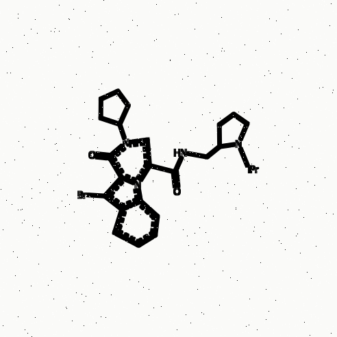 CC(C)N1CCCC1CNC(=O)c1cn(C2CCCC2)c(=O)c2c(Br)c3ccccc3n12